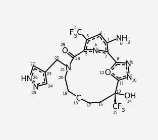 Nc1cc(C(F)(F)F)c2nc1-c1nnc(o1)[C@@](O)(C(F)(F)F)CCCCCN(Cc1cn[nH]c1)C2=O